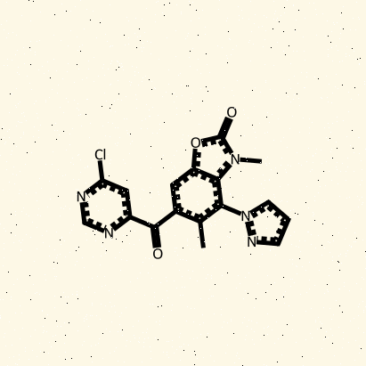 Cc1c(C(=O)c2cc(Cl)ncn2)cc2oc(=O)n(C)c2c1-n1cccn1